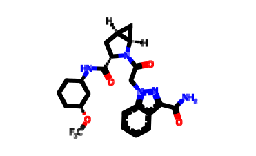 NC(=O)c1nn(CC(=O)N2[C@@H]3C[C@@H]3C[C@H]2C(=O)N[C@@H]2CCC[C@@H](OC(F)(F)F)C2)c2ccccc12